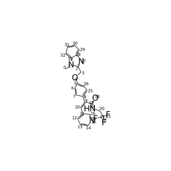 Cn1c(COc2ccc(C(=Cc3cccnc3)C(=O)NCC(F)(F)F)cc2)nc2ccccc21